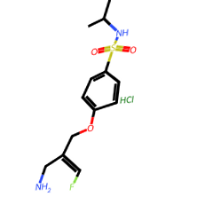 CC(C)NS(=O)(=O)c1ccc(OCC(=CF)CN)cc1.Cl